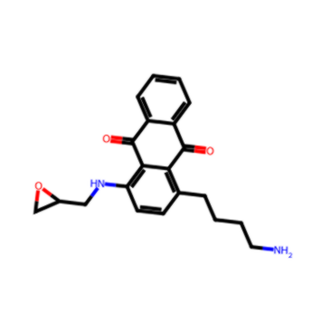 NCCCCc1ccc(NCC2CO2)c2c1C(=O)c1ccccc1C2=O